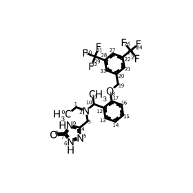 CCN(Cc1n[nH]c(=O)[nH]1)C(C)c1ccccc1OCc1cc(C(F)(F)F)cc(C(F)(F)F)c1